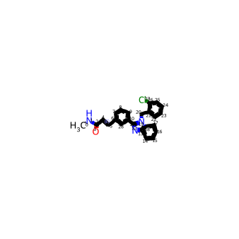 CNC(=O)/C=C/c1cccc(-c2nc3ccccc3n2Cc2ccccc2Cl)c1